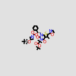 Cc1c(-c2ncco2)sc2c1c(=O)n(C(C)(C)C(=O)OC(C)(C)C)c(=O)n2C[C@H](OC(=O)N1CC(O[Si](C)(C)C(C)(C)C)C1)c1ccccc1